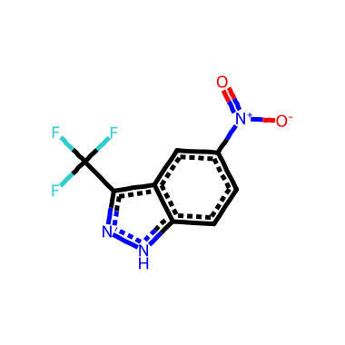 O=[N+]([O-])c1ccc2[nH]nc(C(F)(F)F)c2c1